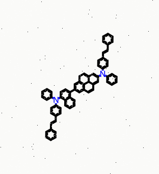 C1=Cc2cc(-c3ccc(N(c4ccccc4)c4ccc(C=Cc5ccccc5)cc4)c4ccccc34)cc3c2C2C(=CC3)C=C(N(c3ccccc3)c3ccc(C=Cc4ccccc4)cc3)C=C12